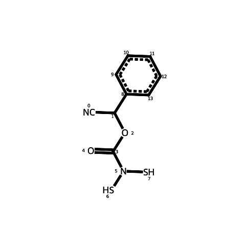 N#CC(OC(=O)N(S)S)c1ccccc1